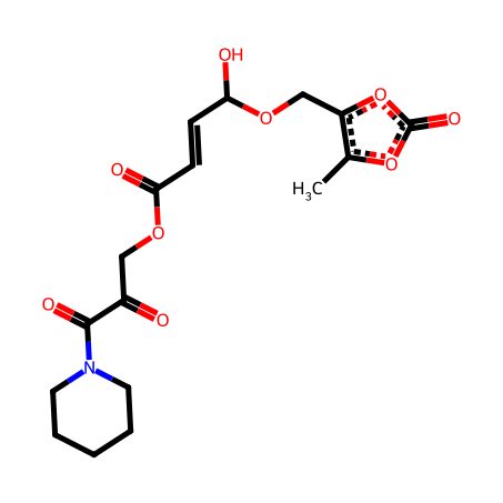 Cc1oc(=O)oc1COC(O)/C=C/C(=O)OCC(=O)C(=O)N1CCCCC1